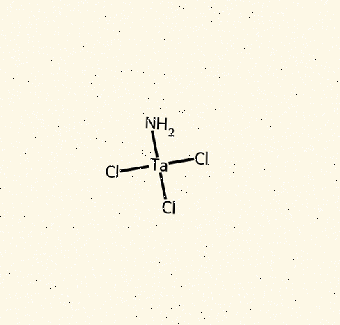 [NH2][Ta]([Cl])([Cl])[Cl]